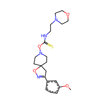 COc1cccc(C2=NOC3(CCN(OC(=S)NCCN4CCOCC4)CC3)C2)c1